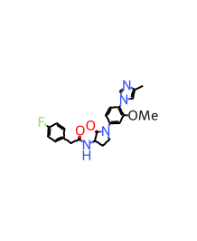 COc1cc(N2CCC(NC(=O)Cc3ccc(F)cc3)C2=O)ccc1-n1cnc(C)c1